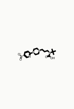 CC(C)(C)N(CCCN1CCN(c2ccc([N+](=O)[O-])cn2)CC1)C(=O)O